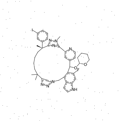 Cn1nc2nc1-c1cc(ccn1)C(OC1CCCCO1)c1c(F)cc3[nH]ccc3c1Cn1cc(nn1)C(C)(C)CCCC[C@]2(C)c1cccc(I)c1